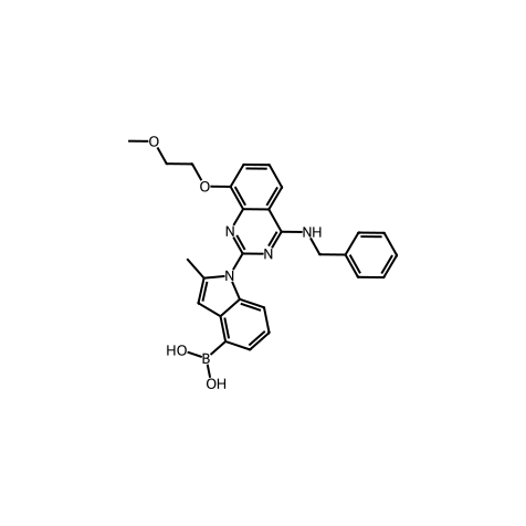 COCCOc1cccc2c(NCc3ccccc3)nc(-n3c(C)cc4c(B(O)O)cccc43)nc12